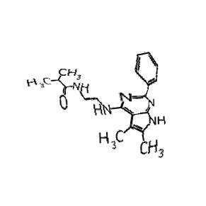 Cc1[nH]c2nc(-c3ccccc3)nc(NCCNC(=O)C(C)C)c2c1C